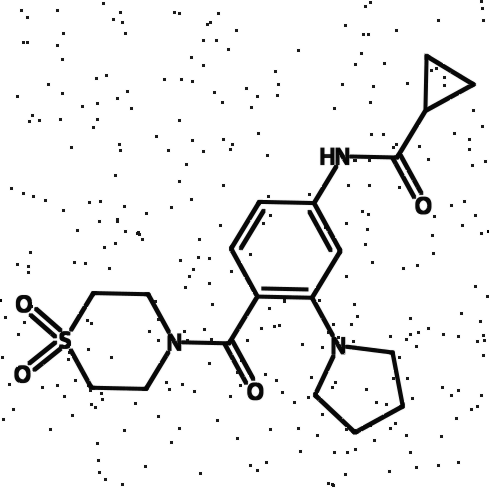 O=C(Nc1ccc(C(=O)N2CCS(=O)(=O)CC2)c(N2CCCC2)c1)C1CC1